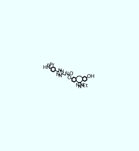 CCCNc1ccc(-c2nnc(CN(C)C(=O)Oc3ccc4c(c3)CCc3cc(O)ccc3-c3c-4nnn3CC)nn2)cc1